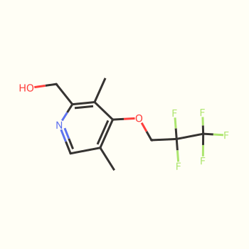 Cc1cnc(CO)c(C)c1OCC(F)(F)C(F)(F)F